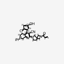 C=CC(=O)N1CC2(CCN(c3nc4c(c(-c5cc(O)ccc5Cl)c3C#N)CCN(C(C)C)C4)C2)C1